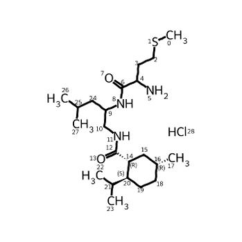 CSCCC(N)C(=O)NC(CNC(=O)[C@@H]1C[C@H](C)CC[C@H]1C(C)C)CC(C)C.Cl